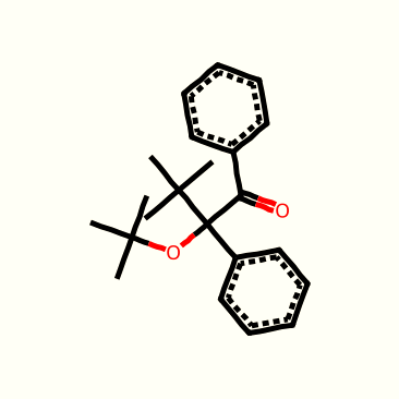 CC(C)(C)OC(C(=O)c1ccccc1)(c1ccccc1)C(C)(C)C